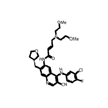 COCCN(C/C=C/C(=O)Nc1cc2c(Nc3ccc(F)c(Cl)c3)c(C#N)cnc2cc1C[C@H]1CCOC1)CCOC